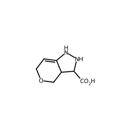 O=C(O)C1NNC2=CCOCC21